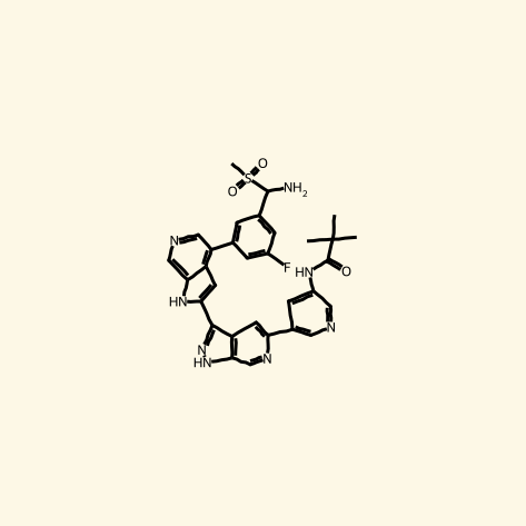 CC(C)(C)C(=O)Nc1cncc(-c2cc3c(-c4cc5c(-c6cc(F)cc(C(N)S(C)(=O)=O)c6)cncc5[nH]4)n[nH]c3cn2)c1